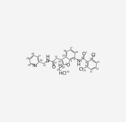 Cc1oc2c(NC(=O)c3c(Cl)cccc3Cl)cccc2c1CC(=O)NCc1ccccn1.Cl